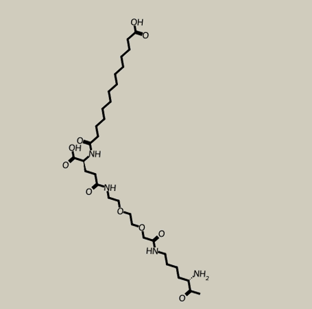 CC(=O)[C@@H](N)CCCCNC(=O)COCCOCCNC(=O)CC[C@H](NC(=O)CCCCCCCCCCCCC(=O)O)C(=O)O